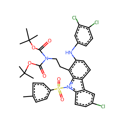 Cc1ccc(S(=O)(=O)n2c3ccc(Cl)cc3c3ccc(Nc4ccc(Cl)c(Cl)c4)c(CCN(C(=O)OC(C)(C)C)C(=O)OC(C)(C)C)c32)cc1